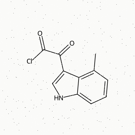 Cc1cccc2[nH]cc(C(=O)C(=O)Cl)c12